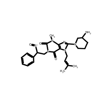 CC(C)=CCn1c(N2CCCC(N)C2)nc2c1c(=O)n(CC([S+]=O)c1ccccc1)c(=O)n2C